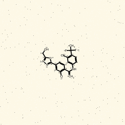 C=C(Nc1ccc(C(C)(F)F)c(Cl)c1)c1ccc(-c2nnc(CO)o2)cc1Cl